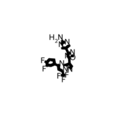 Nc1ncc(-c2noc(-c3cnn4c(C(F)(F)F)cc(-c5ccc(F)c(F)c5)nc34)n2)cn1